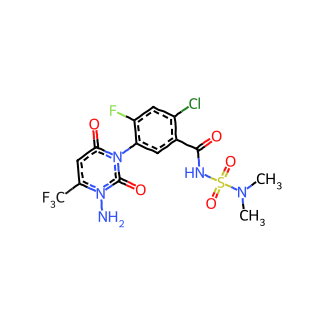 CN(C)S(=O)(=O)NC(=O)c1cc(-n2c(=O)cc(C(F)(F)F)n(N)c2=O)c(F)cc1Cl